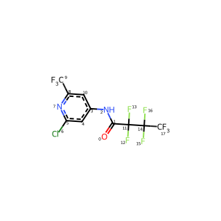 O=C(Nc1cc(Cl)nc(C(F)(F)F)c1)C(F)(F)C(F)(F)C(F)(F)F